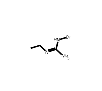 CCN=C(N)NBr